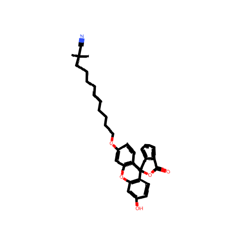 CC(C)(C#N)CCCCCCCCCCOc1ccc2c(c1)Oc1cc(O)ccc1C21OC(=O)c2ccccc21